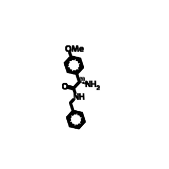 COc1ccc([C@H](N)C(=O)NCc2ccccc2)cc1